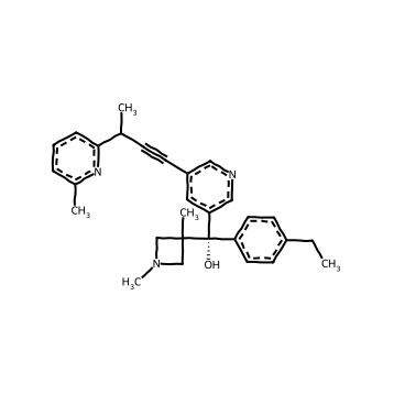 CCc1ccc([C@](O)(c2cncc(C#CC(C)c3cccc(C)n3)c2)C2(C)CN(C)C2)cc1